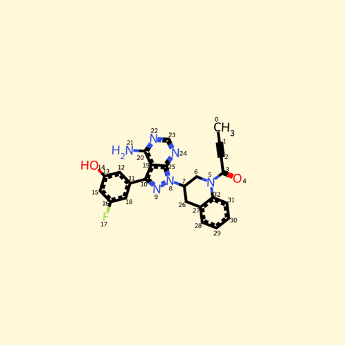 CC#CC(=O)N1CC(n2nc(-c3cc(O)cc(F)c3)c3c(N)ncnc32)Cc2ccccc21